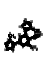 Cn1cnnc1-c1cc(N)c(C#N)c(-c2nncn2C)n1